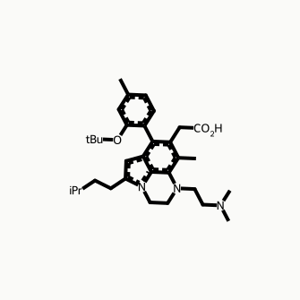 Cc1ccc(-c2c(CC(=O)O)c(C)c3c4c2cc(CCC(C)C)n4CCN3CCN(C)C)c(OC(C)(C)C)c1